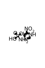 NP(=O)(O)O.O=[N+]([O-])c1cnc[nH]1